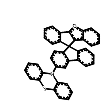 c1ccc2c(c1)Sc1ccccc1N2c1ccc2c(c1)-c1ccccc1C21c2ccccc2-c2oc3ccccc3c21